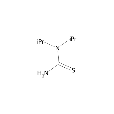 CC(C)N(C(N)=S)C(C)C